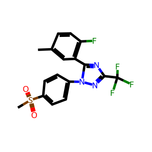 Cc1ccc(F)c(-c2nc(C(F)(F)F)nn2-c2ccc(S(C)(=O)=O)cc2)c1